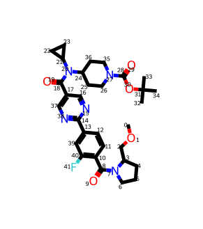 COCC1CCCN1C(=O)c1ccc(-c2ncc(C(=O)N(C3CC3)C3CCN(C(=O)OC(C)(C)C)CC3)cn2)cc1F